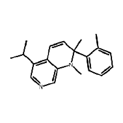 Cc1ccccc1C1(C)C=Cc2c(C(C)C)cncc2N1C